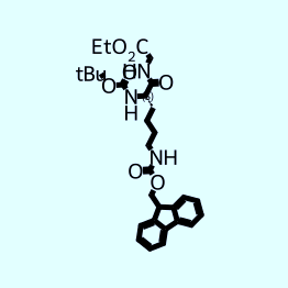 CCOC(=O)CNC(=O)[C@H](CCCCNC(=O)OCC1c2ccccc2-c2ccccc21)NC(=O)OC(C)(C)C